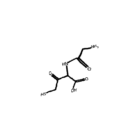 NCC(=O)NC(C(=O)O)C(=O)CS